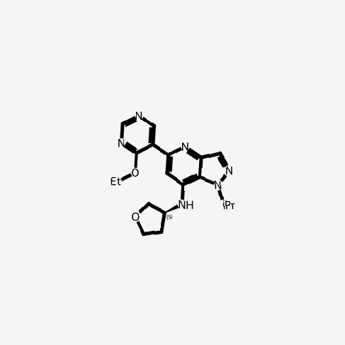 CCOc1ncncc1-c1cc(N[C@H]2CCOC2)c2c(cnn2C(C)C)n1